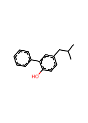 CC(C)Cc1ccc(O)c(-c2ccccc2)c1